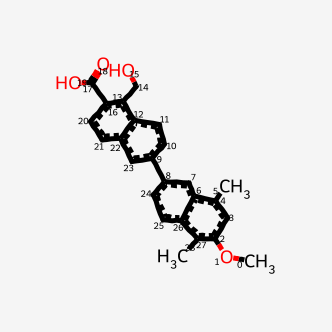 COc1cc(C)c2cc(-c3ccc4c(CO)c(C(=O)O)ccc4c3)ccc2c1C